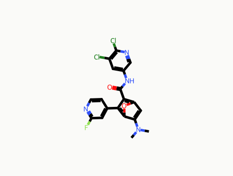 CN(C)c1cc2oc1c(-c1ccnc(F)c1)c2C(=O)Nc1cnc(Cl)c(Cl)c1